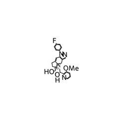 COc1cccnc1C(O)C[C@]1(CO)CCC2=Cc3c(cnn3-c3ccc(F)cc3)C[C@@]21C